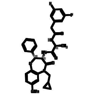 COc1ccc2c(c1)N(CC1CC1)C(=O)[C@@H](NC(=O)[C@H](C)NC(=O)Cc1cc(F)cc(F)c1)[C@@H](c1ccccc1)O2